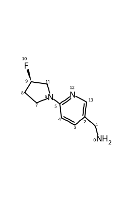 NCc1ccc(N2CC[C@@H](F)C2)nc1